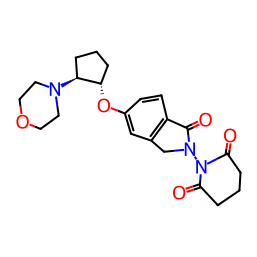 O=C1c2ccc(O[C@H]3CCC[C@@H]3N3CCOCC3)cc2CN1N1C(=O)CCCC1=O